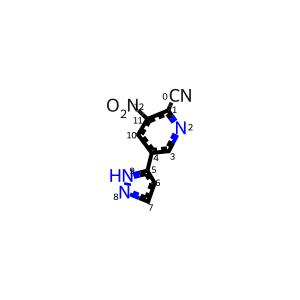 N#Cc1ncc(-c2ccn[nH]2)cc1[N+](=O)[O-]